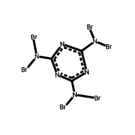 BrN(Br)c1nc(N(Br)Br)nc(N(Br)Br)n1